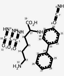 N=C=O.N=C=O.N=C=O.N=C=O.NCCCCC(N)C(=O)O.c1ccc(-c2ccccc2)cc1